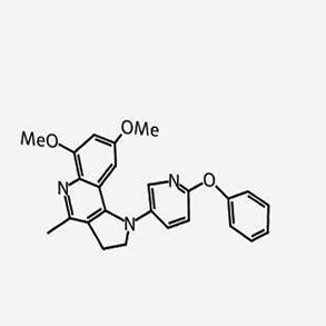 COc1cc(OC)c2nc(C)c3c(c2c1)N(c1ccc(Oc2ccccc2)nc1)CC3